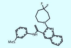 C=C(Nc1cccc(SC)c1)c1cc2ccccc2nc1N1CCCC(F)(F)CC1